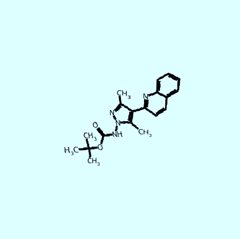 Cc1nn(NC(=O)OC(C)(C)C)c(C)c1-c1ccc2ccccc2n1